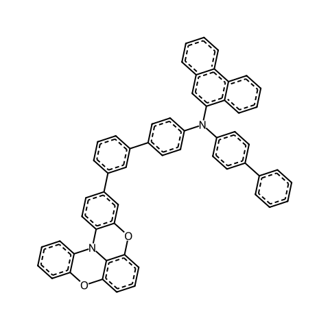 c1ccc(-c2ccc(N(c3ccc(-c4cccc(-c5ccc6c(c5)Oc5cccc7c5N6c5ccccc5O7)c4)cc3)c3cc4ccccc4c4ccccc34)cc2)cc1